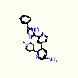 CN1CCC(c2ncc(N)cc2-c2ccnc(-c3ncc(-c4ccccc4)[nH]3)c2)CC1